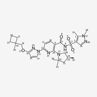 Cc1c(S(=O)(=O)NC(=O)c2ccc(-n3ccc(OCC4(C)CCC4)n3)nc2N2C[C@@H](C)CC2(C)C)cnn1C